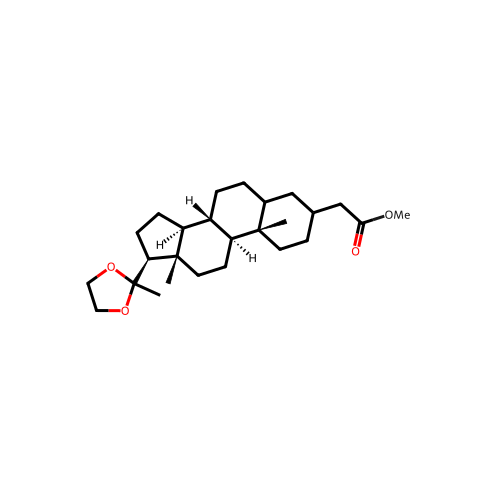 COC(=O)CC1CC[C@@]2(C)C(CC[C@H]3[C@@H]4CC[C@H](C5(C)OCCO5)[C@@]4(C)CC[C@@H]32)C1